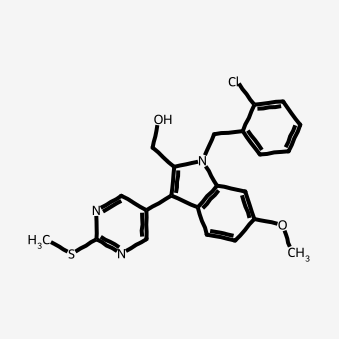 COc1ccc2c(-c3cnc(SC)nc3)c(CO)n(Cc3ccccc3Cl)c2c1